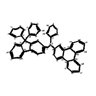 c1ccc(N(c2ccc3c(c2)C(c2ccccc2)(c2ccccc2)c2ccccc2-3)c2ccc3c4ccccc4c4ccccc4c3c2)cc1